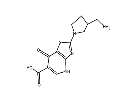 NCC1CCN(c2nc3[nH]cc(C(=O)O)c(=O)c3s2)C1